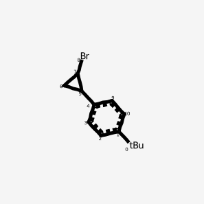 CC(C)(C)c1ccc(C2CC2Br)cc1